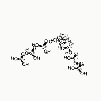 C=O.C=O.C=O.C=O.O=S(O)O.O=S(O)O.O=S(O)O.O=S(O)O.O=S(O)O.O=S(O)O